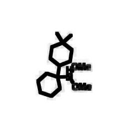 CO[SiH](OC)C1(C2CCC(C)(C)CC2)CCCCC1